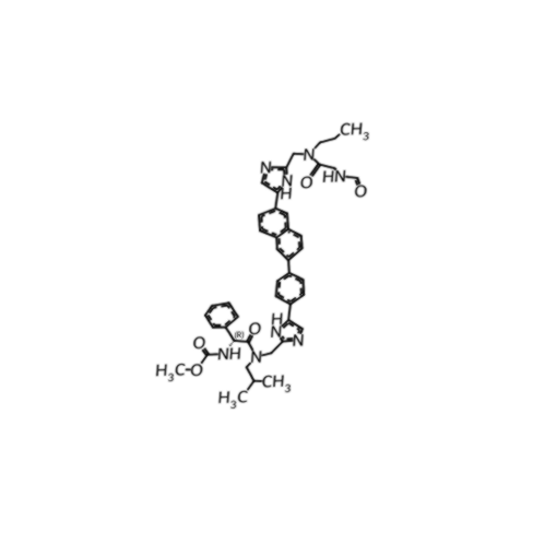 CCCN(Cc1ncc(-c2ccc3cc(-c4ccc(-c5cnc(CN(CC(C)C)C(=O)[C@H](NC(=O)OC)c6ccccc6)[nH]5)cc4)ccc3c2)[nH]1)C(=O)CNC=O